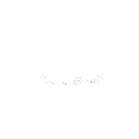 C=C(C)C(=O)OCC(C)OC(=O)NCCCCCCNC(=O)OCCOc1ccc([C@@]2(O)N(CCCCCCNC(=O)OC(C)COC(=O)C(=C)C)C(=O)OC2(C)C)cc1